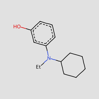 CCN(c1cccc(O)c1)C1CCCCC1